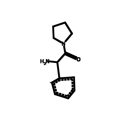 NC(C(=O)N1CCCC1)c1[c]cccc1